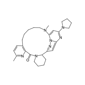 Cc1ccc2c(n1)C(=O)N1CCCCC1c1cc3nc(N4CCCC4)cc(n3n1)N(C)CCCCC2